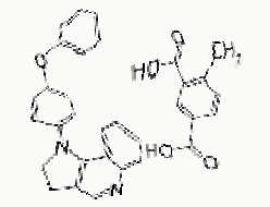 Cc1ccc(C(=O)O)cc1C(=O)O.c1ccc(Oc2ccc(N3CCc4cnc5ccccc5c43)cc2)cc1